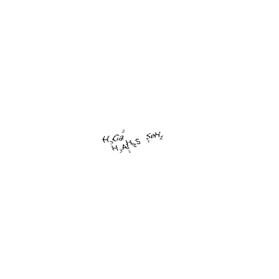 S.[AlH3].[GaH3].[SeH2]